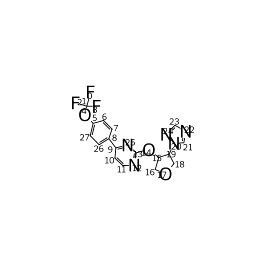 FC(F)(F)Oc1ccc(-c2ccnc(OC3COCC3n3cncn3)n2)cc1